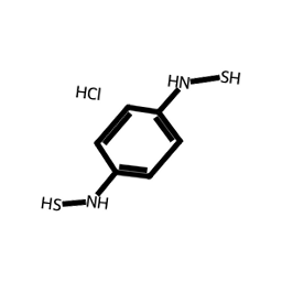 Cl.SNc1ccc(NS)cc1